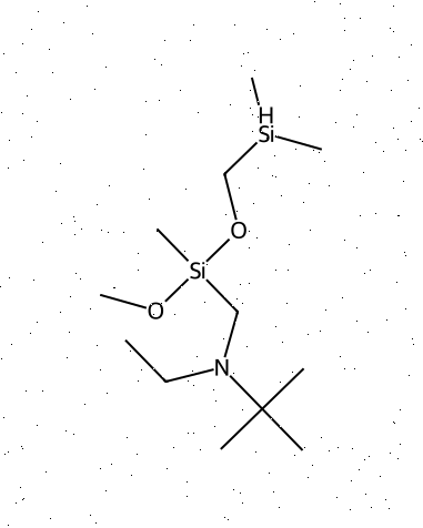 CCN(C[Si](C)(OC)OC[SiH](C)C)C(C)(C)C